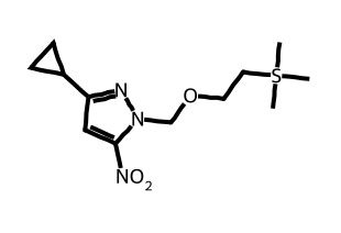 CS(C)(C)CCOCn1nc(C2CC2)cc1[N+](=O)[O-]